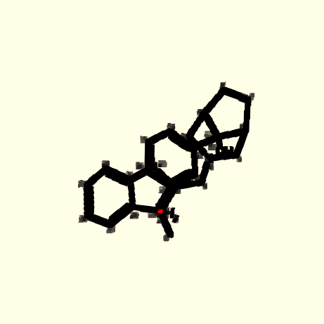 Cc1c(CN2CC3CCC(C2)C3(O)c2cccc(N)c2)sc2ccccc12